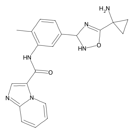 Cc1ccc(C2N=C(C3(N)CC3)ON2)cc1NC(=O)c1cnc2ccccn12